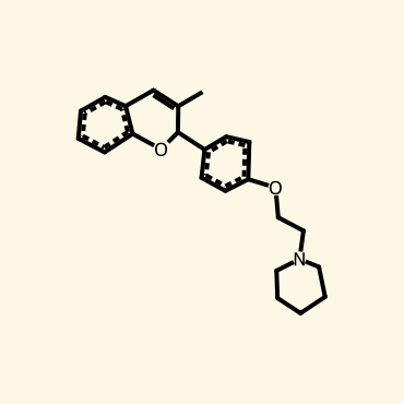 CC1=Cc2ccccc2OC1c1ccc(OCCN2CCCCC2)cc1